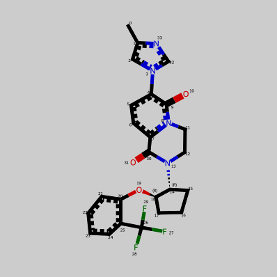 Cc1cn(-c2ccc3n(c2=O)CCN([C@@H]2CCC[C@H]2Oc2ccccc2C(F)(F)F)C3=O)cn1